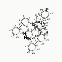 Cc1c(-c2c(-c3ccccc3-c3ccccc3)nnnc2-c2c(-c3ccccc3)ccc3sc4ccccc4c23)nc2c(c1C)-c1ccccc1C2